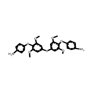 COc1cc(Sc2cc(OC)c(Oc3ccc(N)cc3)c(OC)c2)cc(OC)c1Oc1ccc(N)cc1